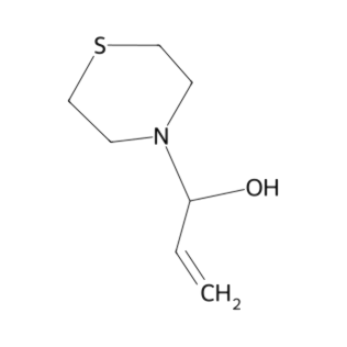 C=CC(O)N1CCSCC1